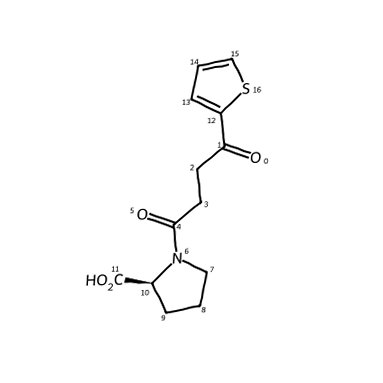 O=C(CCC(=O)N1CCC[C@H]1C(=O)O)c1cccs1